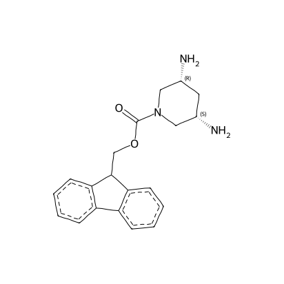 N[C@@H]1C[C@H](N)CN(C(=O)OCC2c3ccccc3-c3ccccc32)C1